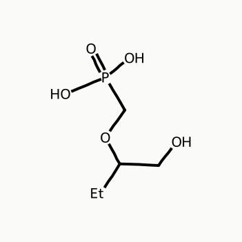 CCC(CO)OCP(=O)(O)O